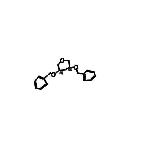 c1ccc(CO[C@@H]2COC[C@H](OCc3ccccc3)C2)cc1